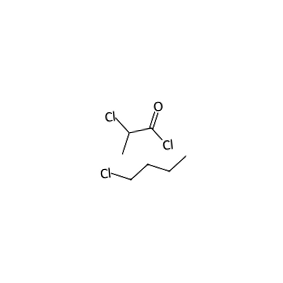 CC(Cl)C(=O)Cl.CCCCCl